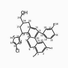 Cc1cc(C)c2ccc3c4c(cc(-c5cccc(F)c5)c3c2c1)CC(CO)CC4c1nc(Cl)cs1